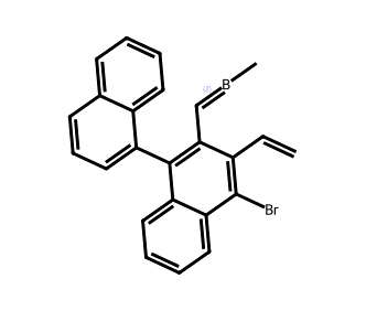 C=Cc1c(/C=B\C)c(-c2cccc3ccccc23)c2ccccc2c1Br